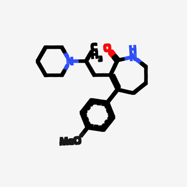 COc1ccc(C2=C(CC(C)N3CCCCC3)C(=O)NCCC2)cc1